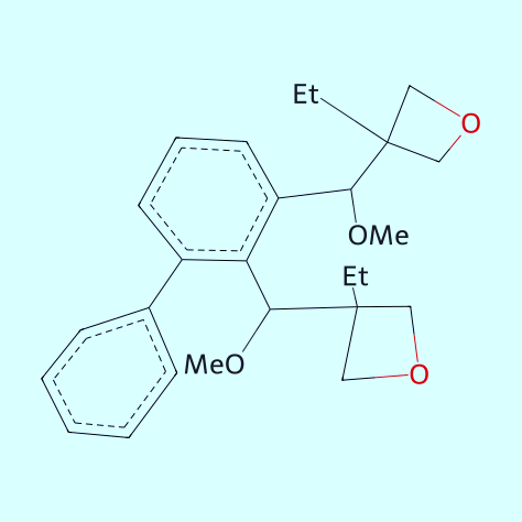 CCC1(C(OC)c2cccc(-c3ccccc3)c2C(OC)C2(CC)COC2)COC1